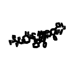 COc1cc(C)[nH]c(=O)c1CNC(=O)c1c(C)n([C@H](C)C2CCN(CC(F)(F)C(F)F)CC2)c2ccccc12